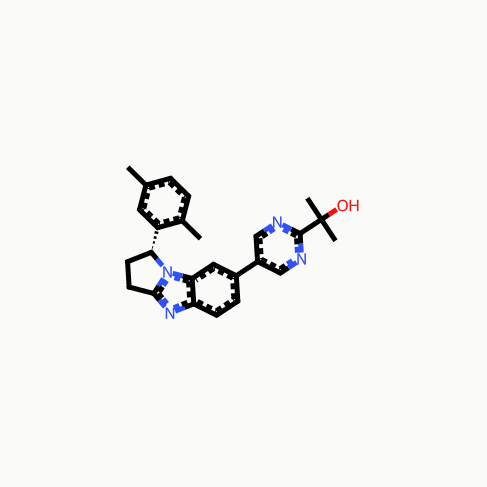 Cc1ccc(C)c([C@H]2CCc3nc4ccc(-c5cnc(C(C)(C)O)nc5)cc4n32)c1